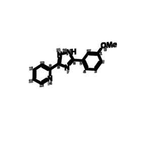 COc1cccc(-c2nc(-c3ccccn3)n[nH]2)c1